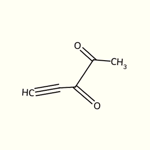 C#CC(=O)C(C)=O